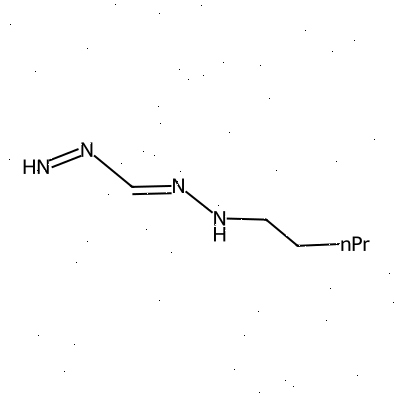 CCCCCNN=CN=N